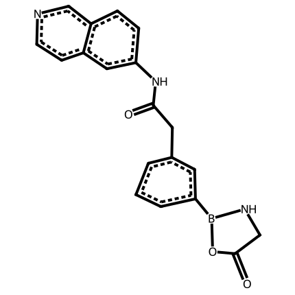 O=C(Cc1cccc(B2NCC(=O)O2)c1)Nc1ccc2cnccc2c1